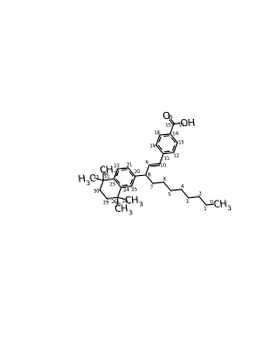 CCCCCCCCC(/C=C/c1ccc(C(=O)O)cc1)c1ccc2c(c1)C(C)(C)CCC2(C)C